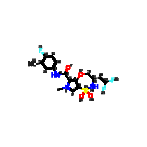 Cn1cc2c(c1C(=O)Nc1ccc(F)c(C#N)c1)OC[C@H](C=C(F)F)NS2(=O)=O